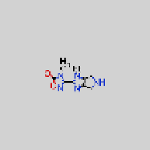 CCn1c(-c2noc(=O)n2C)nc2c1CNC2